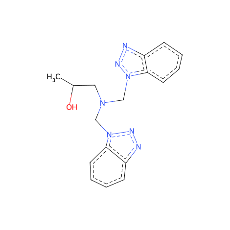 CC(O)CN(Cn1nnc2ccccc21)Cn1nnc2ccccc21